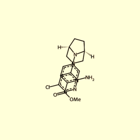 COC(=O)c1ccc(N2[C@@H]3CC[C@H]2CN(c2cc(Cl)nnc2N)C3)cn1